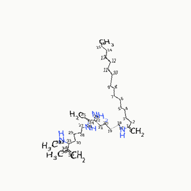 C=C(CCCCCCCCCCCCCCC)NCCCCC(N)C(=C)NCCCCC(NC)C(=C)C